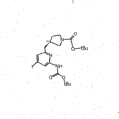 CC(C)(C)OC(=O)Nc1cc(I)cc(C[C@H]2CCN(C(=O)OC(C)(C)C)C2)n1